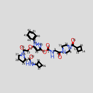 O=C(NCC(=O)N1CCN(C(=O)C2CCC2)CC1)Oc1cc(OCC(=O)N2CCC[C@H]2C(=O)NC2CCC2)n(-c2ccccc2)n1